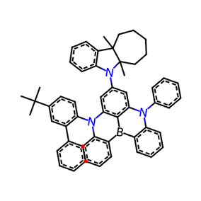 CC(C)(C)c1ccc(N2c3ccccc3B3c4ccccc4N(c4ccccc4)c4cc(N5c6ccccc6C6(C)CCCCCC56C)cc2c43)c(-c2ccccc2)c1